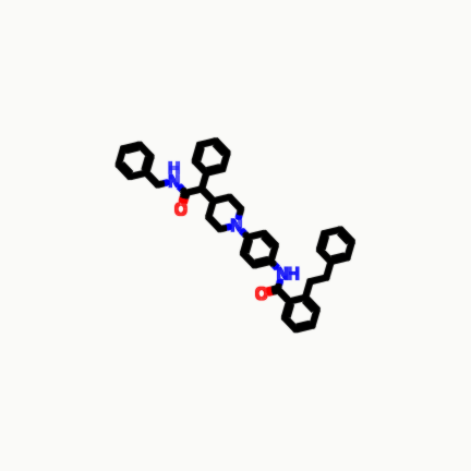 O=C(Nc1ccc(N2CCC(C(C(=O)NCc3ccccc3)c3ccccc3)CC2)cc1)c1ccccc1CCc1ccccc1